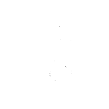 Cc1cc(C(=O)NC(c2ccc(Cl)cc2)c2ncccc2Cl)ccc1C#N